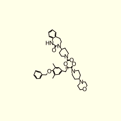 Cc1cc(C[C@@H](OC(=O)N2CCC(N3CCc4ccccc4NC3=O)CC2)C(=O)N2CCC(N3CCOCC3)CC2)cc(C)c1OCc1ccccc1